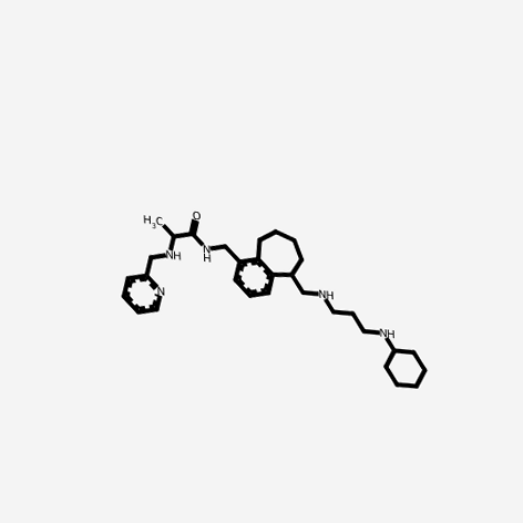 CC(NCc1ccccn1)C(=O)NCc1cccc2c1CCCCC2CNCCCNC1CCCCC1